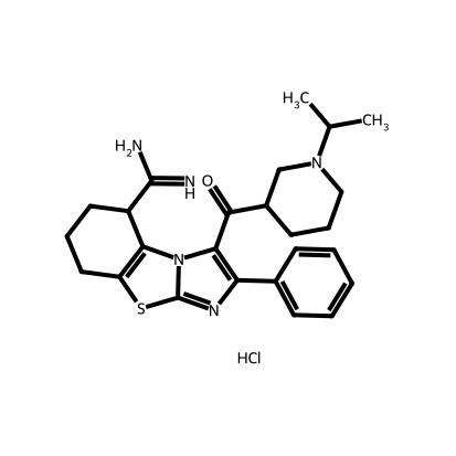 CC(C)N1CCCC(C(=O)c2c(-c3ccccc3)nc3sc4c(n23)C(C(=N)N)CCC4)C1.Cl